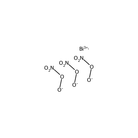 O=[N+]([O-])O[O-].O=[N+]([O-])O[O-].O=[N+]([O-])O[O-].[Bi+3]